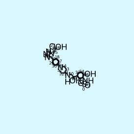 CS(=O)(=O)Nc1cc([C@H](O)CNC2CCN(c3ccc(-c4nnnn4CC(=O)O)cc3)CC2)ccc1O